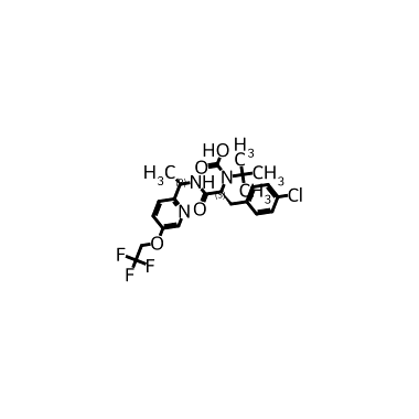 C[C@@H](NC(=O)[C@H](Cc1ccc(Cl)cc1)N(C(=O)O)C(C)(C)C)c1ccc(OCC(F)(F)F)cn1